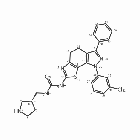 O=C(NC[C@H]1CCNC1)Nc1nc2c(s1)-c1c(c(-c3ccccc3)nn1-c1cccc(Cl)c1)CC2